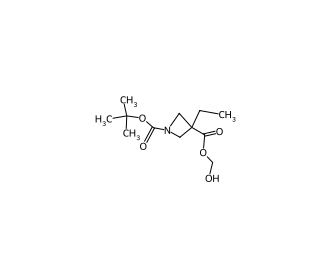 CCC1(C(=O)OCO)CN(C(=O)OC(C)(C)C)C1